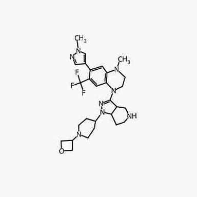 CN1CCN(C2=NN(C3CCN(C4COC4)CC3)C3CCNCC23)c2cc(C(F)(F)F)c(-c3cnn(C)c3)cc21